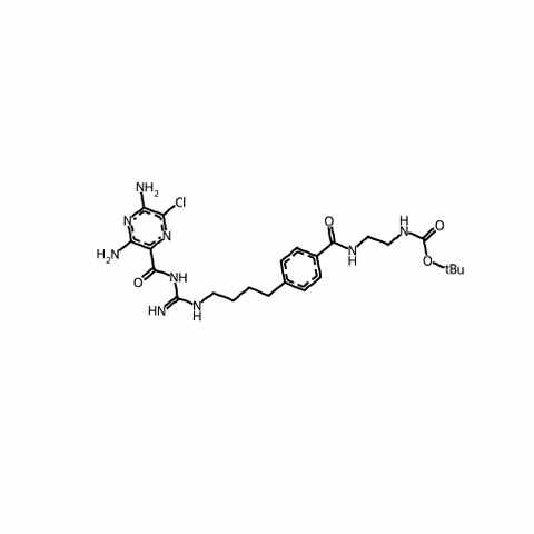 CC(C)(C)OC(=O)NCCNC(=O)c1ccc(CCCCNC(=N)NC(=O)c2nc(Cl)c(N)nc2N)cc1